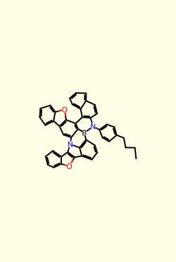 CCCCc1ccc(N2B3c4c(cc5c(oc6ccccc65)c4-c4c2ccc2ccccc42)-n2c4c3cccc4c3oc4ccccc4c32)cc1